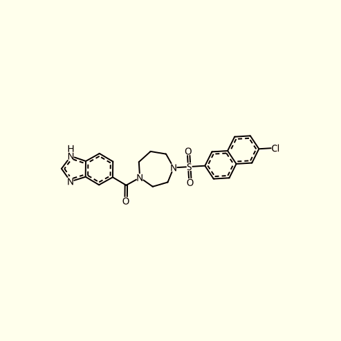 O=C(c1ccc2[nH]cnc2c1)N1CCCN(S(=O)(=O)c2ccc3cc(Cl)ccc3c2)CC1